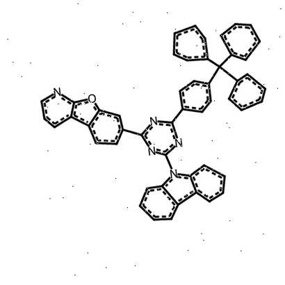 c1ccc(C(c2ccccc2)(c2ccccc2)c2ccc(-c3nc(-c4ccc5c(c4)oc4ncccc45)nc(-n4c5ccccc5c5ccccc54)n3)cc2)cc1